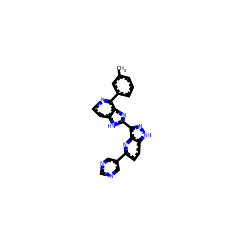 Cc1cccc(-c2nccc3[nH]c(-c4n[nH]c5ccc(-c6cncnc6)nc45)nc23)c1